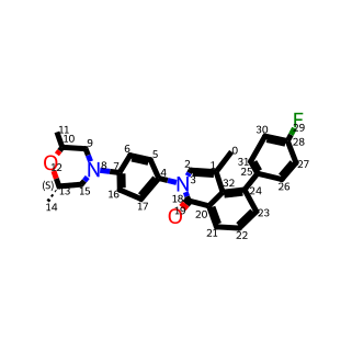 Cc1cn(-c2ccc(N3CC(C)O[C@@H](C)C3)cc2)c(=O)c2cccc(-c3ccc(F)cc3)c12